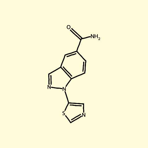 NC(=O)c1ccc2c(cnn2-c2cncs2)c1